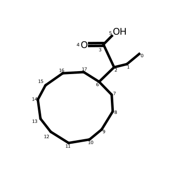 CCC(C(=O)O)C1CCCCCCCCCCC1